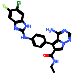 CCNC(=O)c1cn2ncnc(N)c2c1-c1ccc(Nc2nc3cc(F)c(Cl)cc3[nH]2)cc1